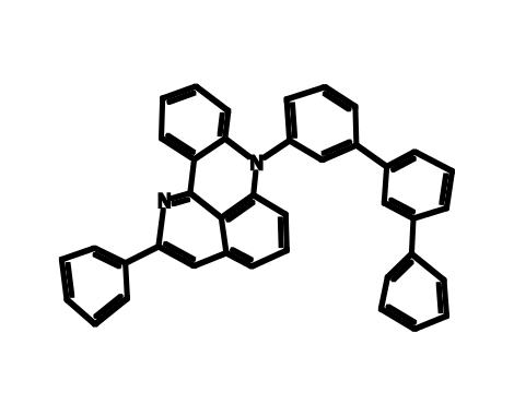 c1ccc(-c2cccc(-c3cccc(N4c5ccccc5-c5nc(-c6ccccc6)cc6cccc4c56)c3)c2)cc1